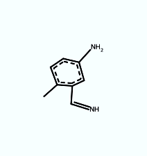 Cc1ccc(N)cc1C=N